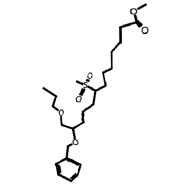 CCCOCC(CCCC(CCCCCCC(=O)OC)S(C)(=O)=O)OCc1ccccc1